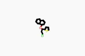 ClCCC(Oc1cccc2ccccc12)c1cccs1